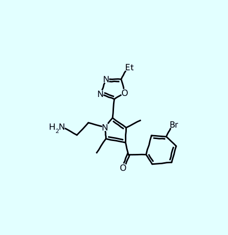 CCc1nnc(-c2c(C)c(C(=O)c3cccc(Br)c3)c(C)n2CCN)o1